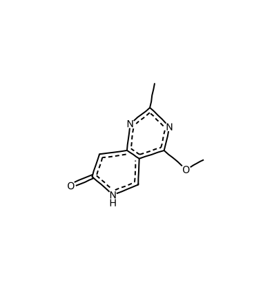 COc1nc(C)nc2cc(=O)[nH]cc12